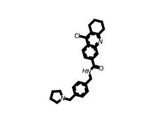 O=C(NCc1ccc(CN2CCCC2)cc1)c1ccc2c(Cl)c3c(nc2c1)CCCC3